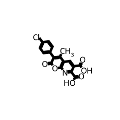 Cc1c(-c2ccc(Cl)cc2)c(=O)oc2nc(C(=O)O)c(C(=O)O)cc12